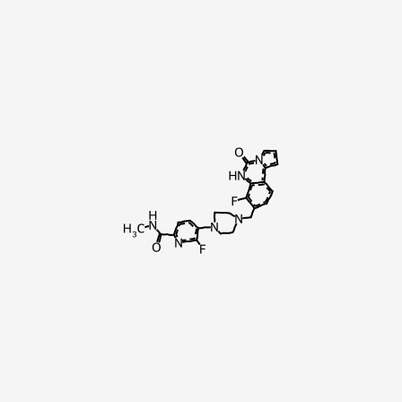 CNC(=O)c1ccc(N2CCN(Cc3ccc4c([nH]c(=O)n5cccc45)c3F)CC2)c(F)n1